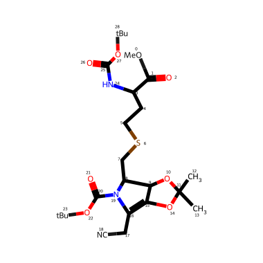 COC(=O)C(CCSCC1C2OC(C)(C)OC2=C(CC#N)N1C(=O)OC(C)(C)C)NC(=O)OC(C)(C)C